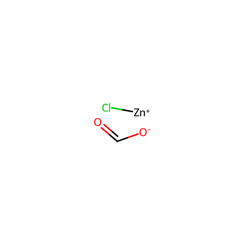 O=C[O-].[Cl][Zn+]